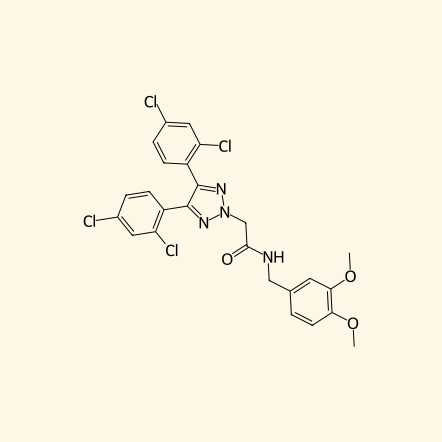 COc1ccc(CNC(=O)Cn2nc(-c3ccc(Cl)cc3Cl)c(-c3ccc(Cl)cc3Cl)n2)cc1OC